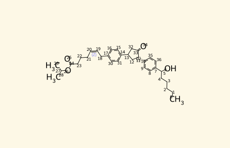 CCCCCC(O)c1ccc([C@@H]2CC(c3ccc(C/C=C\CCCC(=O)OC(C)C)cc3)CC2=O)cc1